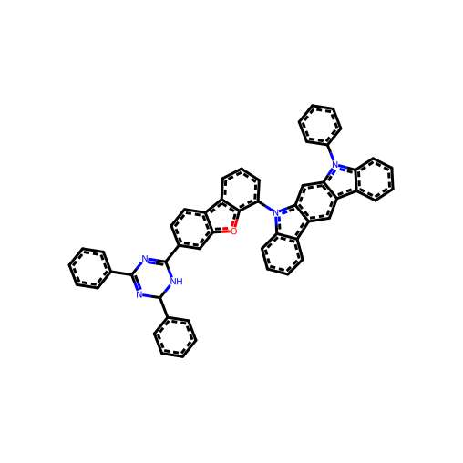 c1ccc(C2=NC(c3ccccc3)NC(c3ccc4c(c3)oc3c(-n5c6ccccc6c6cc7c8ccccc8n(-c8ccccc8)c7cc65)cccc34)=N2)cc1